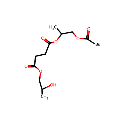 CCC(C)C(=O)OCC(C)OC(=O)CCC(=O)OCC(C)O